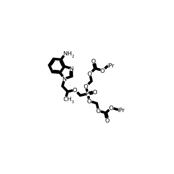 CC(C)OC(=O)OCOP(=O)(COC(C)Cn1cnc2c(N)cccc21)OCOC(=O)OC(C)C